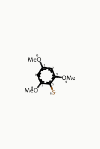 COc1cc(OC)c([S])c(OC)c1